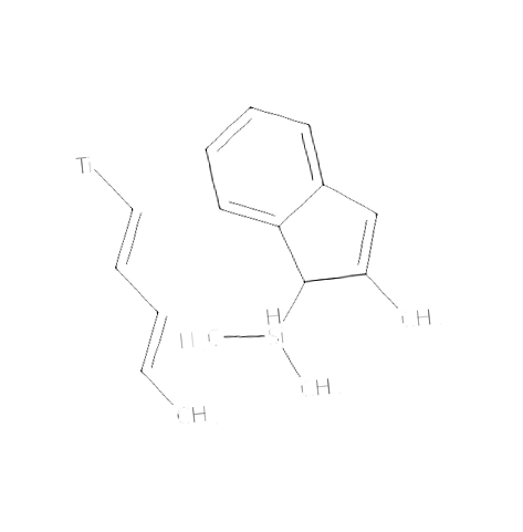 CC1=Cc2ccccc2C1[SiH](C)C.CC=CC=[CH][Ti]